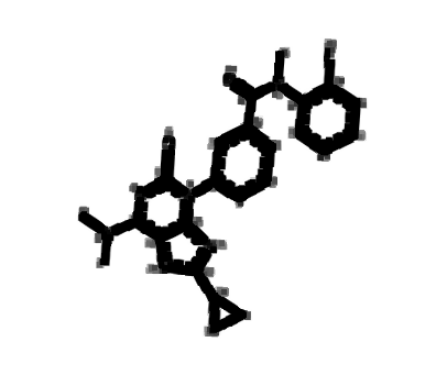 CN(C)c1nc(=O)n(-c2cccc(C(=O)N(C)c3ccccc3F)c2)c2nc(C3CC3)sc12